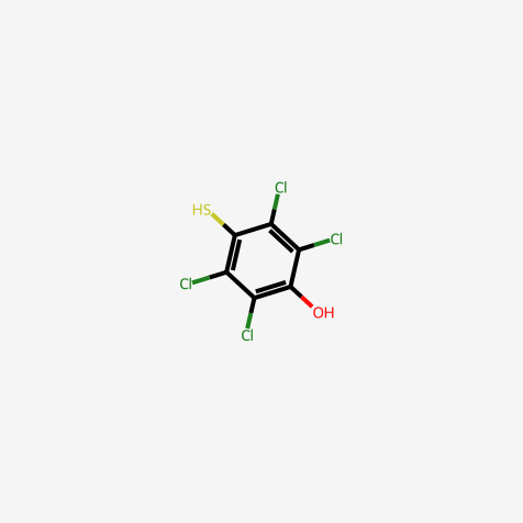 Oc1c(Cl)c(Cl)c(S)c(Cl)c1Cl